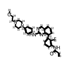 C=CC(=O)Nc1cccc(-c2cccc3cnc(Nc4ccc(N5CCN(CCOC)CC5)cc4)nc23)c1F